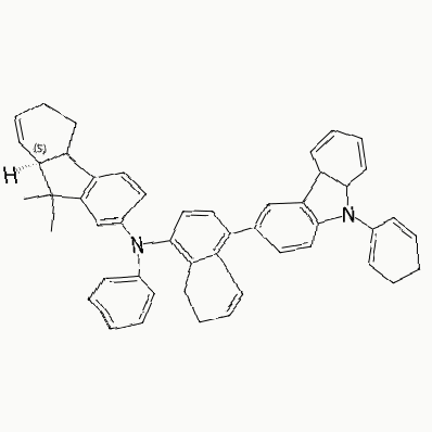 CC1(C)c2cc(N(c3ccccc3)c3ccc(-c4ccc5c(c4)C4C=CC=CC4N5C4=CCCC=C4)c4c3CCC=C4)ccc2C2CCC=C[C@@H]21